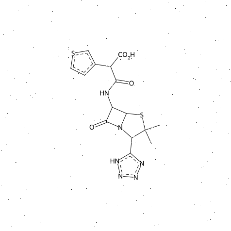 CC1(C)SC2C(NC(=O)C(C(=O)O)c3ccsc3)C(=O)N2C1c1nnn[nH]1